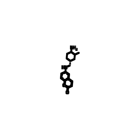 CC1C[C@H](CNc2ccc3oc(=O)ccc3c2)CCC1N